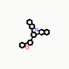 C1=c2ccccc2=CC2C1c1cc(-c3ccc4oc5ccccc5c4c3)cc3c4cc5ccccc5cc4n2c13